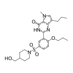 CCCOc1ccc(S(=O)(=O)N2CCC(CO)CC2)cc1-c1nc2c(CCC)cn(C)c2c(=O)[nH]1